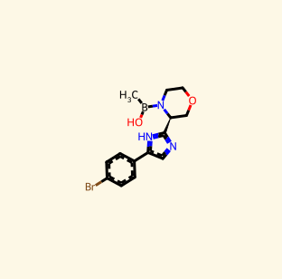 CB(O)N1CCOC[C@H]1c1ncc(-c2ccc(Br)cc2)[nH]1